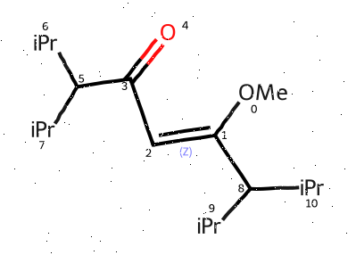 CO/C(=C\C(=O)C(C(C)C)C(C)C)C(C(C)C)C(C)C